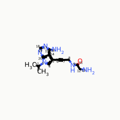 CC(C)n1cc(C#CCNC(=O)CN)c2c(N)ncnc21